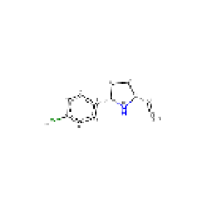 C=C[C@H]1CC[C@@H](c2ccc(F)cc2)N1